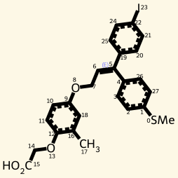 CSc1ccc(/C(=C\COc2ccc(OCC(=O)O)c(C)c2)c2ccc(I)cc2)cc1